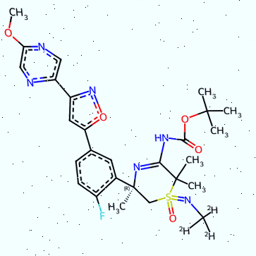 [2H]C([2H])([2H])N=S1(=O)C[C@@](C)(c2cc(-c3cc(-c4cnc(OC)cn4)no3)ccc2F)N=C(NC(=O)OC(C)(C)C)C1(C)C